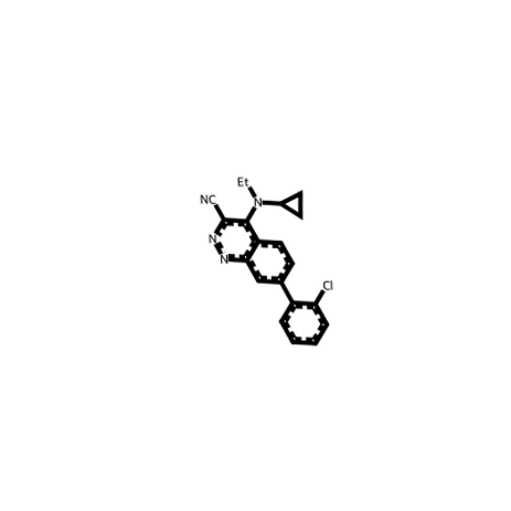 CCN(c1c(C#N)nnc2cc(-c3ccccc3Cl)ccc12)C1CC1